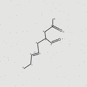 CC/C=C/CC(C=O)CC(C)=O